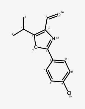 CC(C)c1oc(-c2ccc(Cl)cc2)nc1C=O